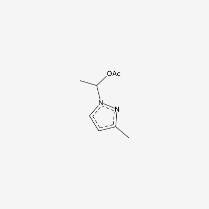 CC(=O)OC(C)n1ccc(C)n1